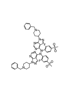 CS(=O)(=O)c1ccc(N(c2ncnc3c2cnn3C2CCN(Cc3ccccc3)CC2)N(c2ccc(S(C)(=O)=O)cc2F)c2ncnc3c2cnn3C2CCN(Cc3ccccc3)CC2)c(F)c1